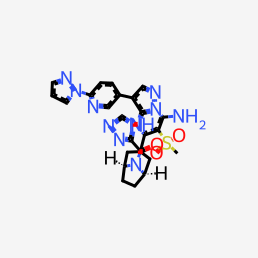 CS(=O)(=O)c1c(C2C[C@H]3CC[C@@H](C2)N3C(=O)c2nnc[nH]2)nc2c(-c3ccc(-n4cccn4)nc3)cnn2c1N